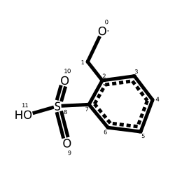 [O]Cc1ccccc1S(=O)(=O)O